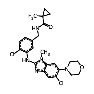 Cn1c(Nc2cc(CNC(=O)C3(C(F)(F)F)CC3)ccc2Cl)nc2cc(Cl)c(N3CCOCC3)cc21